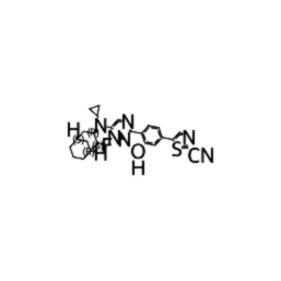 N#Cc1ncc(-c2ccc(-c3ncc(N(C4CC4)[C@@H]4C[C@H]5CCC[C@H](C5)[C@@H]4F)nn3)c(O)c2)s1